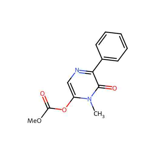 COC(=O)Oc1cnc(-c2ccccc2)c(=O)n1C